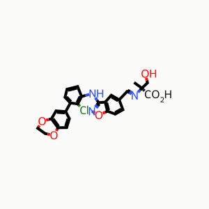 CC(CO)(N=Cc1ccc2onc(Nc3cccc(-c4ccc5c(c4)OCCO5)c3Cl)c2c1)C(=O)O